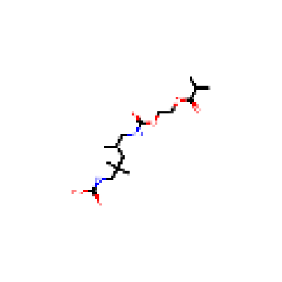 C=C(C)C(=O)OCCOC(=O)NCC(C)CC(C)(C)CNC(=O)O